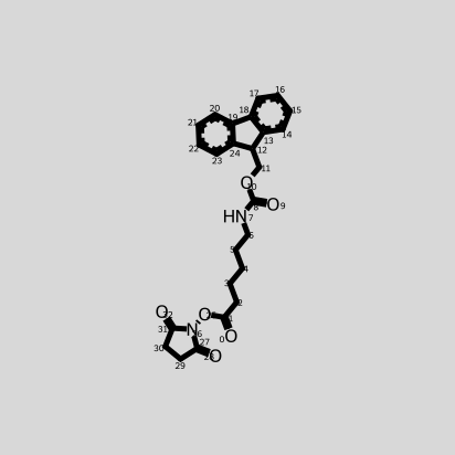 O=C(CCCCCNC(=O)OCC1c2ccccc2-c2ccccc21)ON1C(=O)CCC1=O